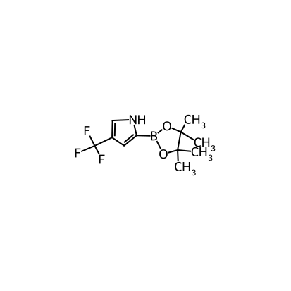 CC1(C)OB(c2cc(C(F)(F)F)c[nH]2)OC1(C)C